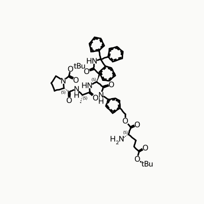 C[C@H](NC(=O)[C@@H]1CCCN1C(=O)OC(C)(C)C)C(=O)N[C@@H](CC(=O)NC(c1ccccc1)(c1ccccc1)c1ccccc1)C(=O)Nc1ccc(COC(=O)[C@@H](N)CCC(=O)OC(C)(C)C)cc1